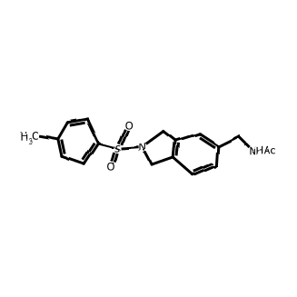 CC(=O)NCc1ccc2c(c1)CN(S(=O)(=O)c1ccc(C)cc1)C2